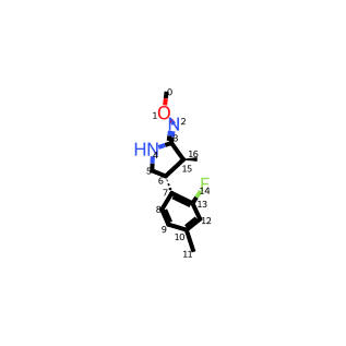 CO/N=C1\NC[C@@H](c2ccc(C)cc2F)[C@@H]1C